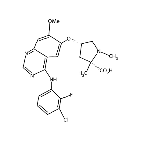 COc1cc2ncnc(Nc3cccc(Cl)c3F)c2cc1O[C@@H]1CN(C)[C@](C)(C(=O)O)C1